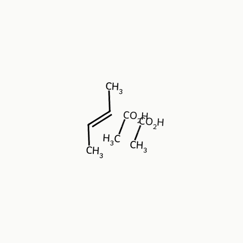 CC(=O)O.CC(=O)O.CC=CC